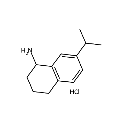 CC(C)c1ccc2c(c1)C(N)CCC2.Cl